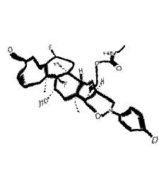 CNC(=O)OCC(=O)[C@@]12ON(c3ccc(Cl)cc3)C[C@@H]1C[C@H]1[C@@H]3C[C@H](F)C4=CC(=O)C=C[C@]4(C)[C@@]3(F)[C@@H](O)C[C@@]12C